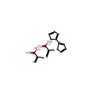 C1=CCC(C2=CC=CC2)=C1.C=C(C)C(=O)O.C=C(C)C(=O)O